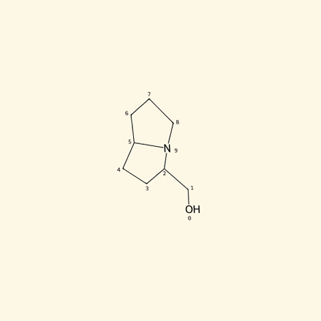 OCC1CCC2CCCN12